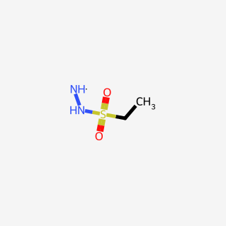 CCS(=O)(=O)N[NH]